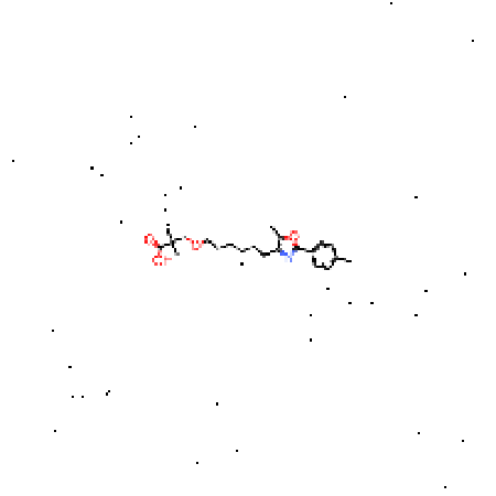 Cc1ccc(-c2nc(CCCCCCOCC(C)(C)C(=O)O)c(C)o2)cc1